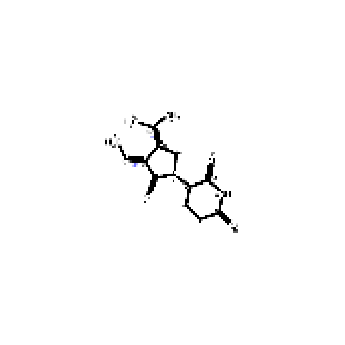 C/C=C1/C(=O)N(C2CCC(=O)NC2=O)C/C1=C(/C)N